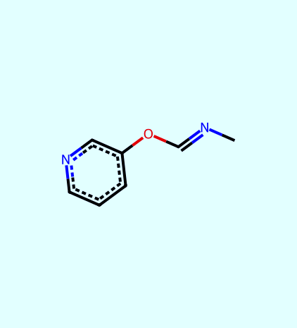 C/N=C/Oc1cccnc1